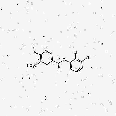 O=C(O)C1=C(CF)NC=C(C(=O)Oc2cccc(Cl)c2Cl)C1